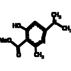 COC(=O)c1c(O)cc(N(C)C)nc1C